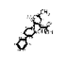 CC(C)C[C@H](C(=O)N1CC=C(c2ccccc2)CC1)[C@@H](O)C(=O)O